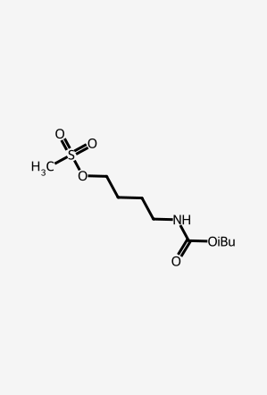 CC(C)COC(=O)NCCCCOS(C)(=O)=O